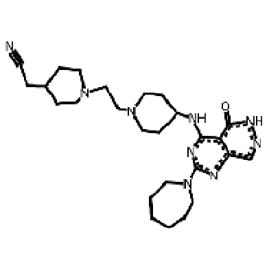 N#CCC1CCN(CCN2CCC(Nc3nc(N4CCCCCC4)nc4cn[nH]c(=O)c34)CC2)CC1